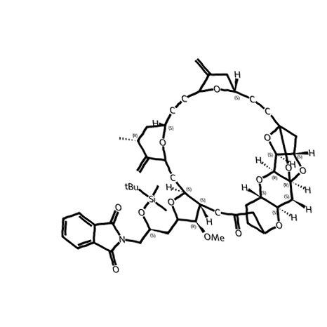 C=C1C[C@@H]2CCC34C[C@@H]5O[C@@H]6[C@@H](O[C@H]7CCC(CC(=O)C[C@H]8[C@H](CC9O[C@@H](CCC1O2)C[C@@H](C)C9=C)OC(C[C@@H](CN1C(=O)c2ccccc2C1=O)O[Si](C)(C)C(C)(C)C)[C@@H]8OC)O[C@@H]7[C@@H]6O3)[C@H]5O4